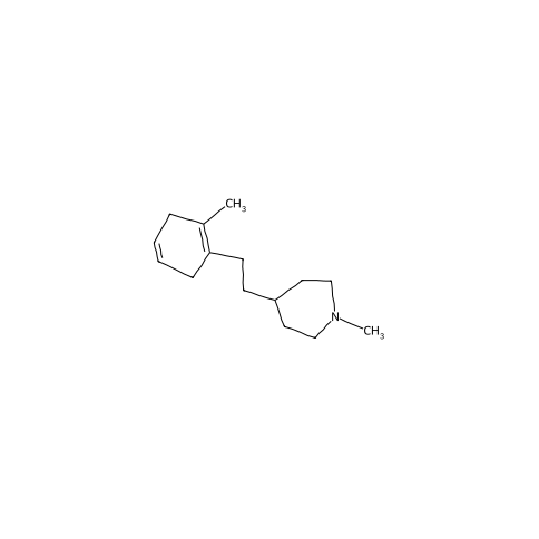 CC1=C(CCC2CCN(C)CC2)CC=CC1